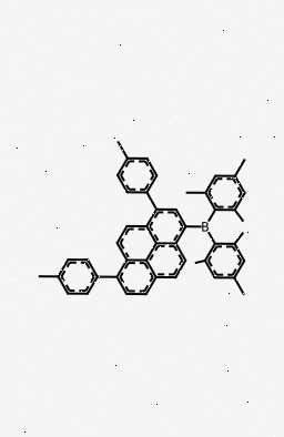 Cc1ccc(-c2ccc3ccc4c(B(c5c(C)cc(C)cc5C)c5c(C)cc(C)cc5C)cc(-c5ccc(C)cc5)c5ccc2c3c45)cc1